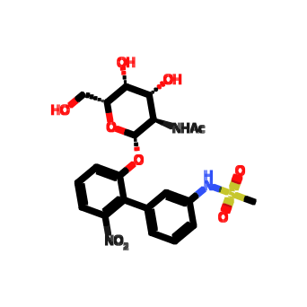 CC(=O)N[C@H]1[C@H](Oc2cccc([N+](=O)[O-])c2-c2cccc(NS(C)(=O)=O)c2)O[C@H](CO)[C@H](O)[C@@H]1O